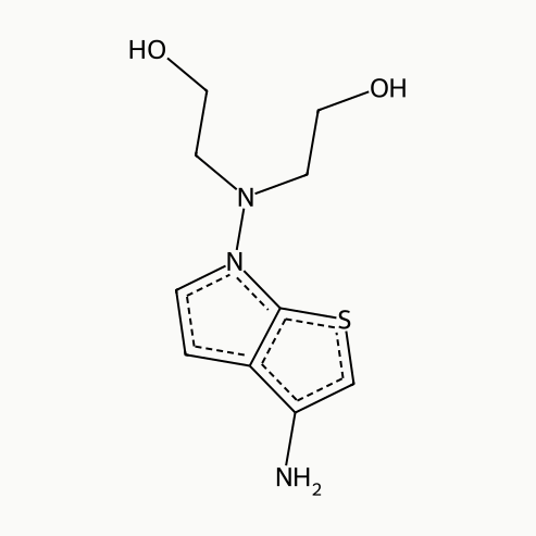 Nc1csc2c1ccn2N(CCO)CCO